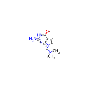 CN(C)Cn1ccc2c(=O)[nH]c(N)nc21